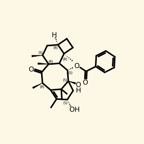 CC1=C2[C@@H](C)C(=O)[C@@]3(C)C([C@H](OC(=O)c4ccccc4)[C@](O)(C[C@@H]1O)C2(C)C)[C@]1(C)CC[C@@H]1C[C@@H]3C